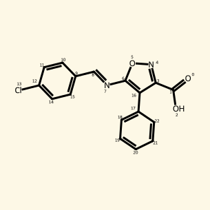 O=C(O)c1noc(/N=C/c2ccc(Cl)cc2)c1-c1ccccc1